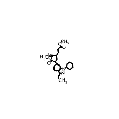 CCc1nn(C2CCCCC2)c2cc(C(CC(C#N)CCC(=O)OC)C(=O)OC)ccc12